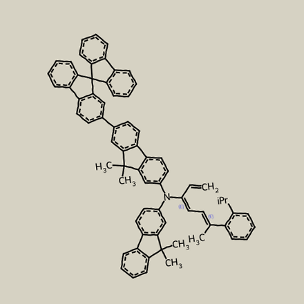 C=C/C(=C\C=C(/C)c1ccccc1C(C)C)N(c1ccc2c(c1)C(C)(C)c1ccccc1-2)c1ccc2c(c1)C(C)(C)c1cc(-c3ccc4c(c3)C3(c5ccccc5-c5ccccc53)c3ccccc3-4)ccc1-2